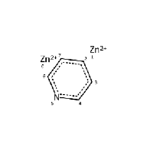 [Zn+2].[Zn+2].c1ccncc1